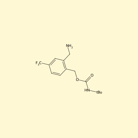 CC(C)(C)NC(=O)OCc1ccc(C(F)(F)F)cc1CN